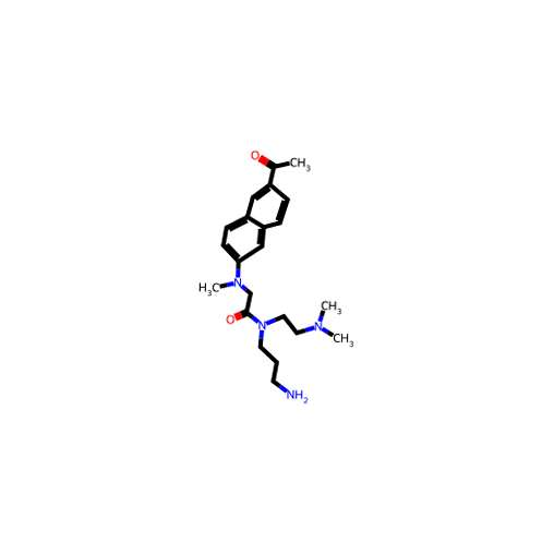 CC(=O)c1ccc2cc(N(C)CC(=O)N(CCCN)CCN(C)C)ccc2c1